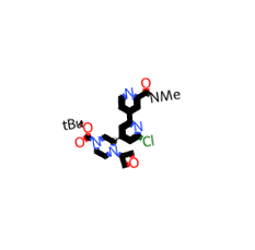 CNC(=O)c1cc(-c2cc([C@H]3CN(C(=O)OC(C)(C)C)CCN3C3COC3)cc(Cl)n2)ccn1